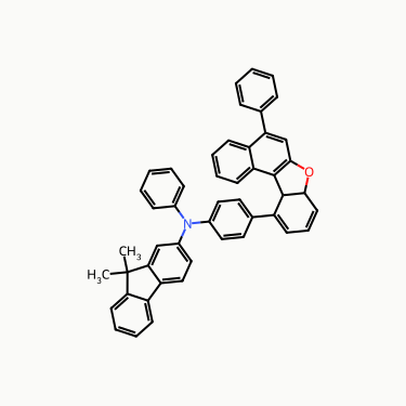 CC1(C)c2ccccc2-c2ccc(N(c3ccccc3)c3ccc(C4=CC=CC5Oc6cc(-c7ccccc7)c7ccccc7c6C45)cc3)cc21